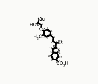 CCC(CCc1ccc(OCC(O)C(C)(C)C)c(C)c1)c1cc2ccc(C(=O)O)cc2s1